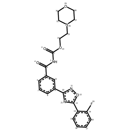 O=C(NC(=O)c1cccc(-c2noc(-c3ccccc3F)n2)c1)OCCN1CCOCC1